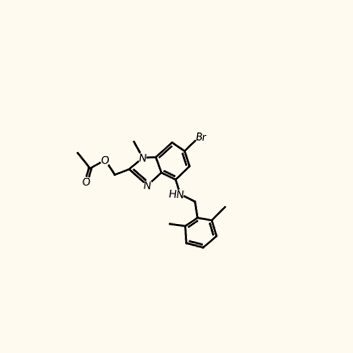 CC(=O)OCc1nc2c(NCc3c(C)cccc3C)cc(Br)cc2n1C